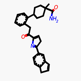 CC1(C(N)=O)CCC(c2ccccc2CC(=O)C2=CCC(c3ccc4c(c3)C=CC4)=N2)CC1